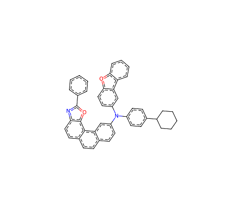 c1ccc(-c2nc3ccc4ccc5ccc(N(c6ccc(C7CCCCC7)cc6)c6ccc7oc8ccccc8c7c6)cc5c4c3o2)cc1